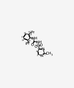 Cc1nccc(S(=O)(=O)NC(=O)Nc2c(C(C)C)cccc2C(C)C)n1